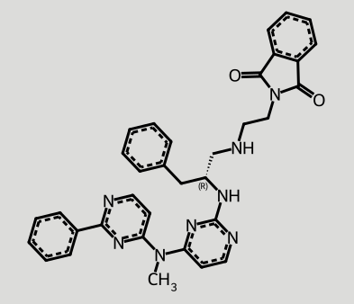 CN(c1ccnc(N[C@@H](CNCCN2C(=O)c3ccccc3C2=O)Cc2ccccc2)n1)c1ccnc(-c2ccccc2)n1